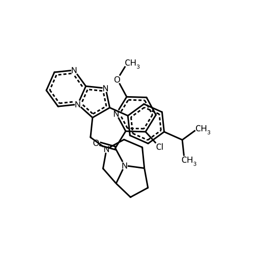 COc1ccc(Cl)c(C(=O)N2C3CCC2CN(Cc2c(-c4ccc(C(C)C)cc4)nc4ncccn24)CC3)n1